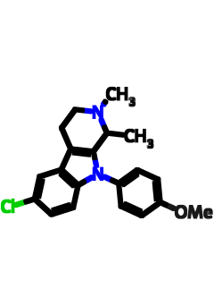 COc1ccc(-n2c3c(c4cc(Cl)ccc42)CCN(C)C3C)cc1